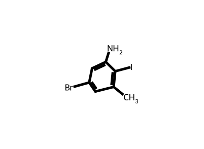 Cc1cc(Br)cc(N)c1I